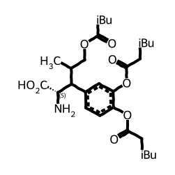 CCC(C)CC(=O)Oc1ccc(C(C(C)COC(=O)C(C)CC)[C@H](N)C(=O)O)cc1OC(=O)CC(C)CC